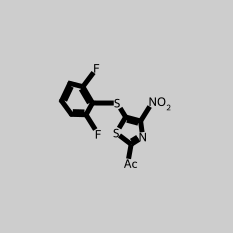 CC(=O)c1nc([N+](=O)[O-])c(Sc2c(F)cccc2F)s1